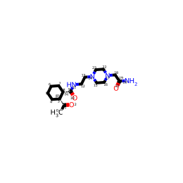 CC(=O)[C@@H]1CCCC[C@@H]1C(=O)NCCN1CCN(CC(N)=O)CC1